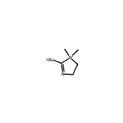 CCCCC1=NCC[N+]1(C)C